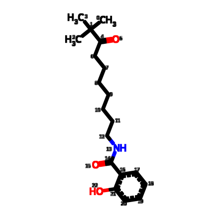 CC(C)(C)C(=O)CCCCCCCNC(=O)c1ccccc1O